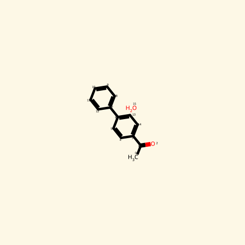 CC(=O)c1ccc(-c2ccccc2)cc1.O